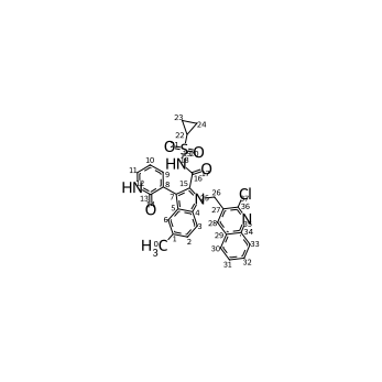 Cc1ccc2c(c1)c(-c1ccc[nH]c1=O)c(C(=O)NS(=O)(=O)C1CC1)n2Cc1cc2ccccc2nc1Cl